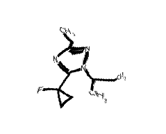 Cc1nc(C2(F)CC2)n(C(C)C)n1